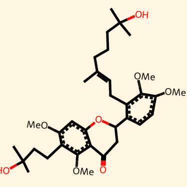 COc1cc2c(c(OC)c1CCC(C)(C)O)C(=O)CC(c1ccc(OC)c(OC)c1C/C=C(\C)CCCC(C)(C)O)O2